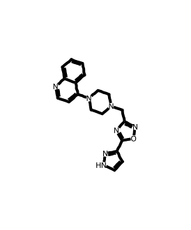 c1ccc2c(N3CCN(Cc4noc(-c5cc[nH]n5)n4)CC3)ccnc2c1